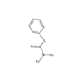 CC[N]([Zn])C(=S)Sc1ccccc1